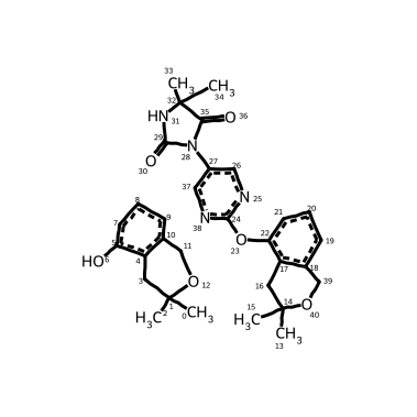 CC1(C)Cc2c(O)cccc2CO1.CC1(C)Cc2c(cccc2Oc2ncc(N3C(=O)NC(C)(C)C3=O)cn2)CO1